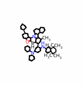 Cc1cc(-c2cc(N(c3ccccc3)c3ccccc3)ccc2Nc2ccc3c(c2)C(C)(C)CCC3(C)C)c2c3c1c1c4ccccc4ccc1n3-c1c(oc3ccc(-c4ccccc4)cc13)B2